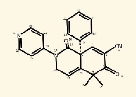 CC1(C)C(=O)C(C#N)=C[C@]2(c3ccccc3)C(=O)N(c3ccncc3)CC=C12